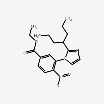 CCCC(CCC)c1nccn1-c1cc(C(=O)OCC)ccc1[N+](=O)[O-]